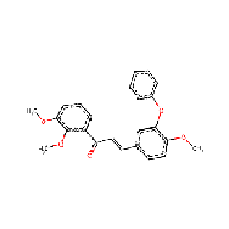 COc1ccc(/C=C/C(=O)c2cccc(OC)c2OC)cc1Oc1ccccc1